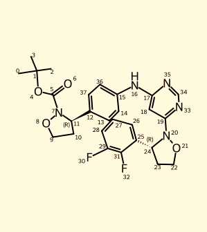 CC(C)(C)OC(=O)N1OCC[C@@H]1c1ccc(Nc2cc(N3OCC[C@@H]3c3cccc(F)c3F)ncn2)cc1